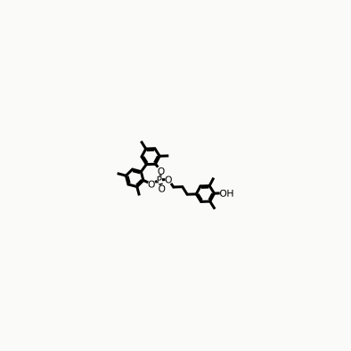 Cc1cc(C)c2c(c1)-c1cc(C)cc(C)c1OP(=O)(OCCCc1cc(C)c(O)c(C)c1)O2